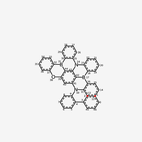 c1ccc(-c2ccccc2N2c3ccccc3B3c4ccccc4N4c5ccccc5B5c6ccccc6Oc6cc2c3c4c65)cc1